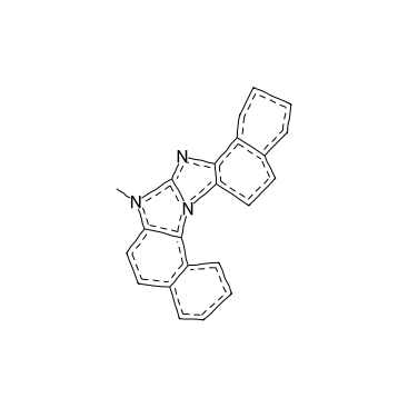 Cn1c2ccc3ccccc3c2n2c3ccc4ccccc4c3nc12